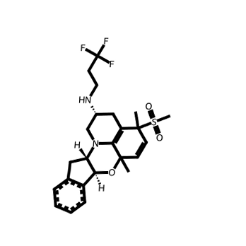 CC12C=CC(C)(S(C)(=O)=O)C3=C1N(C[C@H](NCCC(F)(F)F)C3)[C@H]1Cc3ccccc3[C@@H]1O2